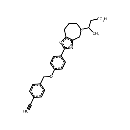 C#Cc1ccc(COc2ccc(-c3nc4c(o3)CCCN(C(C)CC(=O)O)C4)cc2)cc1